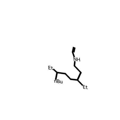 C=CNCCC(CC)CCC(CC)CCCC